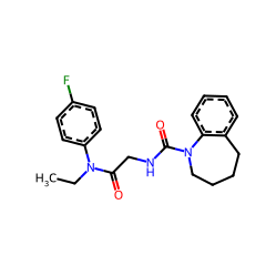 CCN(C(=O)CNC(=O)N1CCCCc2ccccc21)c1ccc(F)cc1